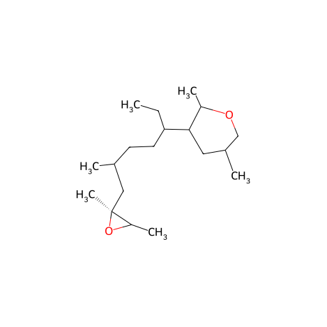 CCC(CCC(C)C[C@]1(C)OC1C)C1CC(C)COC1C